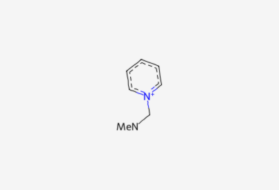 CNC[n+]1ccccc1